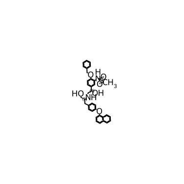 CS(=O)(=O)Nc1cc([C@@H](O)CN[C@H](CO)Cc2ccc(Oc3cccc4ccccc34)cc2)ccc1OCc1ccccc1